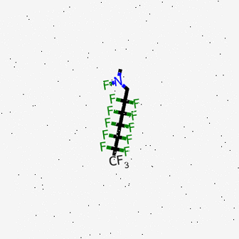 CN(F)CC(F)(F)C(F)(F)C(F)(F)C(F)(F)C(F)(F)C(F)(F)F